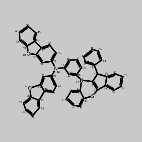 c1ccc(C2C3=C(Sc4ccccc4N3c3cccc(N(c4ccc5c(c4)oc4ccccc45)c4ccc5c(c4)oc4ccccc45)c3)c3ccccc32)cc1